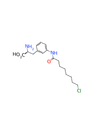 N[C@@H](Cc1cccc(NC(=O)CCCCCCCCl)c1)C(=O)O